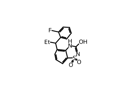 CCC(c1ccccc1F)c1cccc2c1NC(O)=NS2(=O)=O